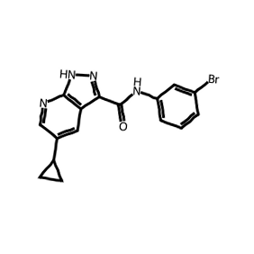 O=C(Nc1cccc(Br)c1)c1n[nH]c2ncc(C3CC3)cc12